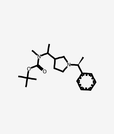 CC(C1CCN([C@@H](C)c2ccccc2)C1)N(C)C(=O)OC(C)(C)C